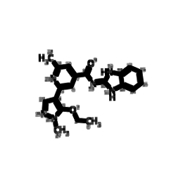 CCOc1c(-c2cc(C(=O)N=c3[nH]c4ccccc4[nH]3)cc(C)n2)cnn1C